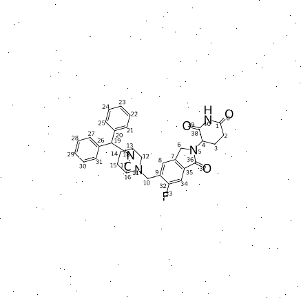 O=C1CCC(N2Cc3cc(CN4CC5CCC4CN5C(c4ccccc4)c4ccccc4)c(F)cc3C2=O)C(=O)N1